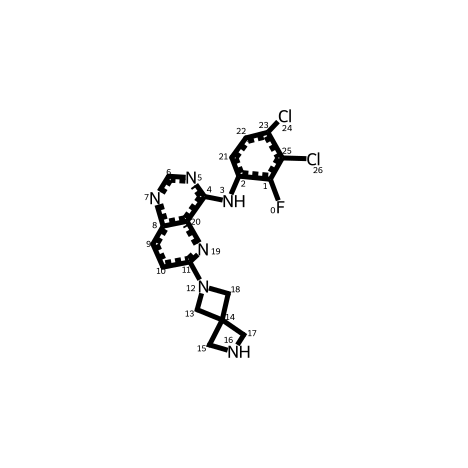 Fc1c(Nc2ncnc3ccc(N4CC5(CNC5)C4)nc23)ccc(Cl)c1Cl